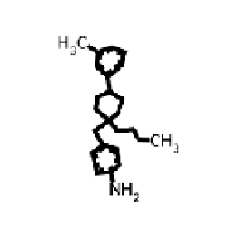 CCCCC1(Cc2ccc(N)cc2)CCC(c2cccc(C)c2)CC1